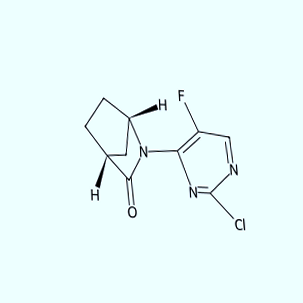 O=C1[C@@H]2CC[C@@H](C2)N1c1nc(Cl)ncc1F